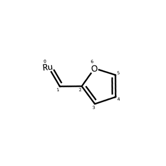 [Ru]=[CH]c1ccco1